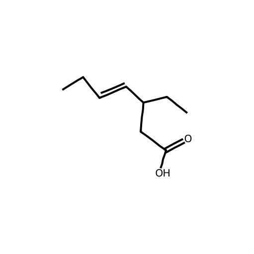 CCC=CC(CC)CC(=O)O